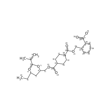 C=C(C)C(=O)OC(CCCC)COC(=O)C1CCN(C(=O)OCc2ccccc2[N+](=O)[O-])CC1